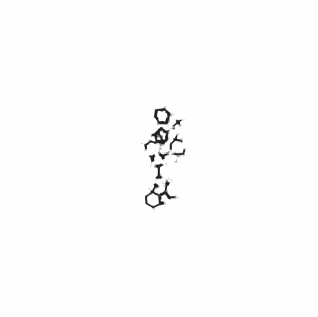 C[C@H](Oc1nc(-c2noc([C@@]3(C)CCCc4sc(N)c(C#N)c43)n2)nc(N2C[C@](C)(O[Si](c3ccccc3)(c3ccccc3)C(C)(C)C)COC[C@H]2C)n1)[C@@H]1C[C@@H](F)CN1C